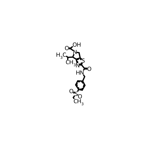 CCS(=O)(=O)c1ccc(CNC(=O)c2nc3c(s2)CN(C(=O)O)C3C(C)C)cc1